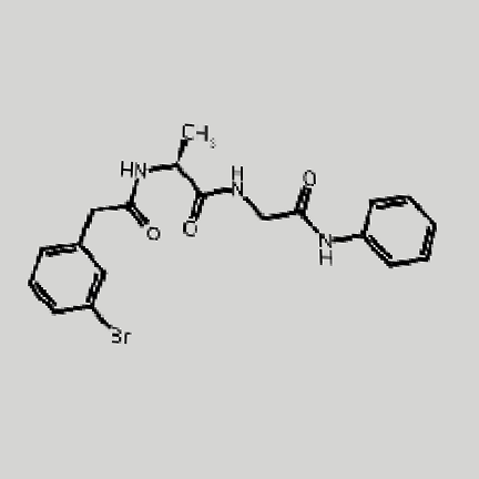 C[C@H](NC(=O)Cc1cccc(Br)c1)C(=O)NCC(=O)Nc1ccccc1